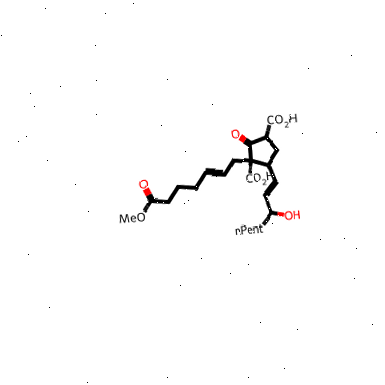 CCCCCC(O)C=CC1CC(C(=O)O)C(=O)C1(CC=CCCCC(=O)OC)C(=O)O